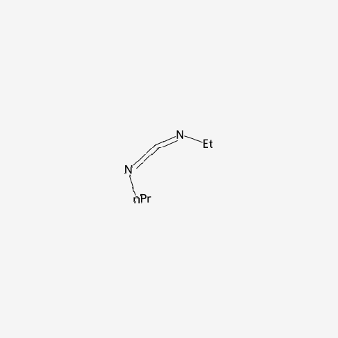 CCCN=C=NCC